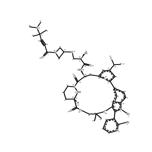 CCn1c(-c2cccnc2C(C)C)c2c3cc(ccc31)-c1cc(cc(C(F)F)c1)C[C@H](NC(=O)[C@@H](COC1CN(C(=O)C#CC(C)(C)N(C)C)C1)C(C)C)C(=O)N1CCC[C@H](N1)C(=O)OCC(C)(C)C2